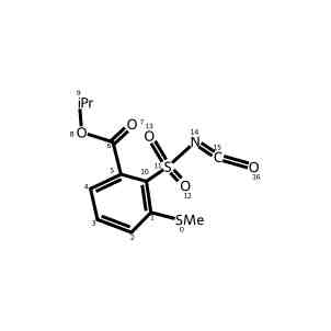 CSc1cccc(C(=O)OC(C)C)c1S(=O)(=O)N=C=O